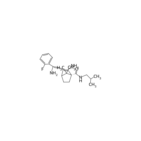 CC(C)CNC(=O)[C@@]12CCC(C(/C=C(\N)c3ccccc3F)=C1N)C2(C)C